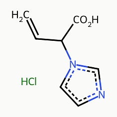 C=CC(C(=O)O)n1ccnc1.Cl